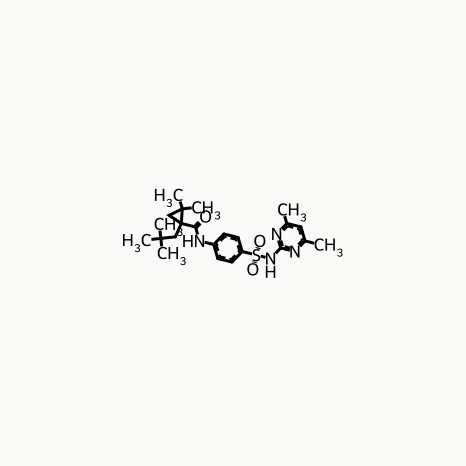 Cc1cc(C)nc(NS(=O)(=O)c2ccc(NC(=O)C3(CC(C)(C)C)CC3(C)C)cc2)n1